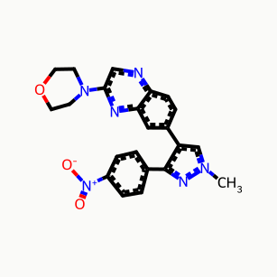 Cn1cc(-c2ccc3ncc(N4CCOCC4)nc3c2)c(-c2ccc([N+](=O)[O-])cc2)n1